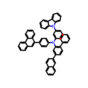 c1ccc(-c2ccc(-c3ccc4ccccc4c3)cc2N(c2ccc(-c3cc4ccccc4c4ccccc34)cc2)c2cccc(-n3c4ccccc4c4ccccc43)c2)cc1